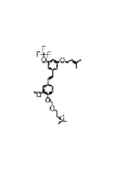 COc1cc(C=Cc2cc(OCC=C(C)C)cc(OC(F)(F)F)c2)ccc1OCOCC[Si](C)(C)C